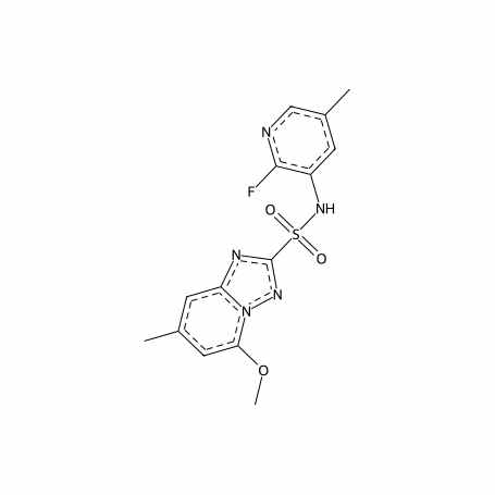 COc1cc(C)cc2nc(S(=O)(=O)Nc3cc(C)cnc3F)nn12